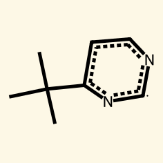 CC(C)(C)c1ccn[c]n1